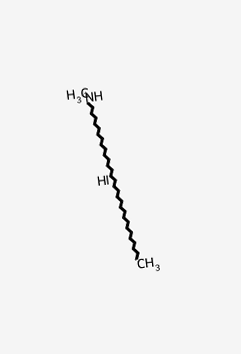 CCCCCCCCCCCCCCCCCCCCCCCCCCCCCCCCNC.I